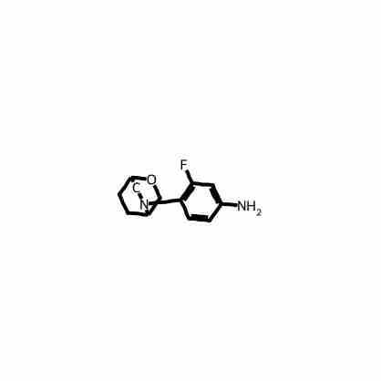 Nc1ccc(N2CC3CCC2CO3)c(F)c1